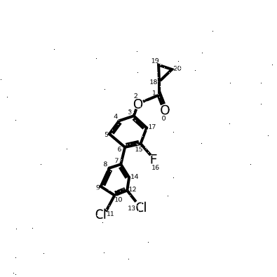 O=C(Oc1ccc(-c2ccc(Cl)c(Cl)c2)c(F)c1)C1CC1